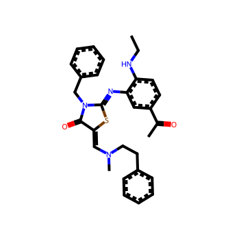 CCNc1ccc(C(C)=O)cc1/N=C1\S/C(=C\N(C)CCc2ccccc2)C(=O)N1Cc1ccccc1